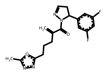 C=C(CCCc1nnc(C)o1)C(=O)N1N=CCC1c1cc(F)cc(F)c1